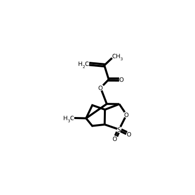 C=C(C)C(=O)OC1C2OS(=O)(=O)C3CC1(C)CC23